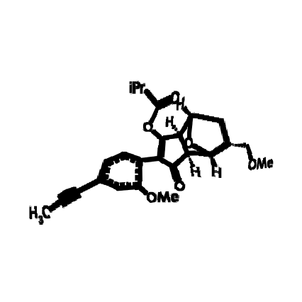 CC#Cc1ccc(C2=C(OC(=O)C(C)C)[C@@H]3[C@H](C2=O)[C@@H]2O[C@H]3C[C@@H]2COC)c(OC)c1